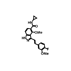 COc1cc(/C=C/c2n[nH]c3ccc(C(=O)NC4CC4)c(OC)c23)ccc1F